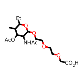 CCC1OC(OCCOCCOCC(=O)O)C(NC(C)=O)C(OC(C)=O)C1C